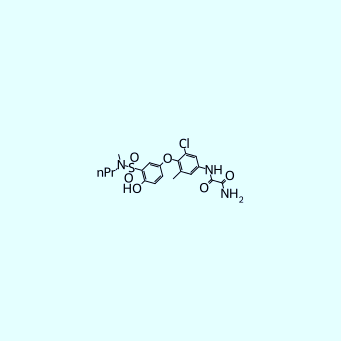 CCCN(C)S(=O)(=O)c1cc(Oc2c(C)cc(NC(=O)C(N)=O)cc2Cl)ccc1O